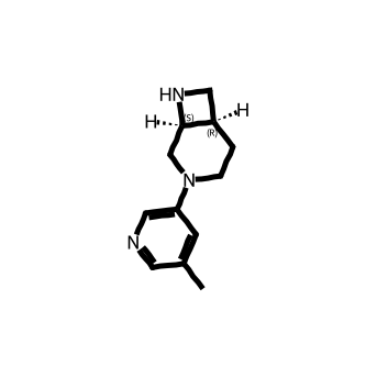 Cc1cncc(N2CC[C@@H]3CN[C@@H]3C2)c1